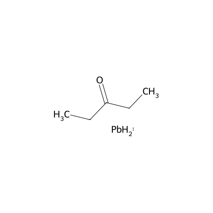 CCC(=O)CC.[PbH2]